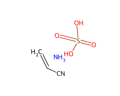 C=CC#N.N.O=S(=O)(O)O